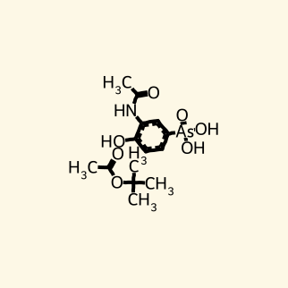 CC(=O)Nc1cc([As](=O)(O)O)ccc1O.CC(=O)OC(C)(C)C